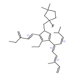 C=C/C(C)=C/C=C(\C=C/C(C)C)C1=CC(CC2(F)CCC(C)(C)C2)C(/C=C/C(=C)CC)=C1CC